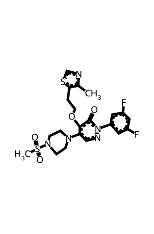 Cc1ncsc1CCOc1c(N2CCN(S(C)(=O)=O)CC2)cnn(-c2cc(F)cc(F)c2)c1=O